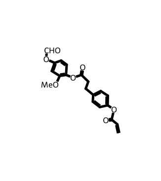 C=CC(=O)Oc1ccc(CCC(=O)Oc2ccc(OC=O)cc2OC)cc1